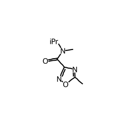 Cc1nc(C(=O)N(C)C(C)C)no1